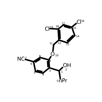 CCCC(O)c1ccc(C#N)cc1OCc1ccc(Cl)cc1Cl